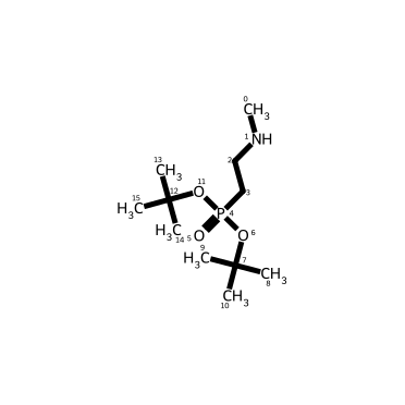 CNCCP(=O)(OC(C)(C)C)OC(C)(C)C